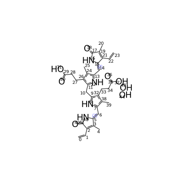 C=CC1=C(C)/C(=C/c2[nH]c(Cc3[nH]c(/C=C4\NC(=O)C(C)=C4C=C)c(C)c3CCC(=O)O)c(CCC(=O)O)c2C)NC1=O.OO